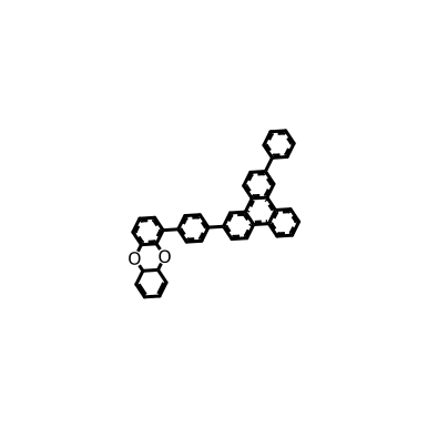 C1=CC2Oc3cccc(-c4ccc(-c5ccc6c7ccccc7c7cc(-c8ccccc8)ccc7c6c5)cc4)c3OC2C=C1